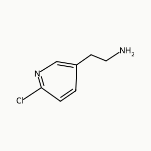 NCCc1ccc(Cl)nc1